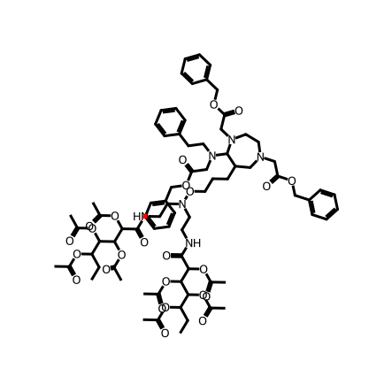 CCC(OC(C)=O)C(OC(C)=O)C(OC(C)=O)C(OC(C)=O)C(=O)NCCN(CCNC(=O)C(OC(C)=O)C(OC(C)=O)C(OC(C)=O)C(CC)OC(C)=O)OCCCC1CN(CC(=O)OCc2ccccc2)CCN(CC(=O)OCc2ccccc2)C1N(CCc1ccccc1)CC(=O)OCc1ccccc1